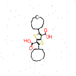 O=C(O)c1c(C2CCCCCCCCCC2)sc2c(C(=O)O)c(C3CCCCCCCCC3)sc12